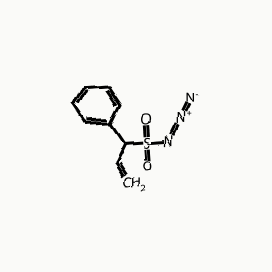 C=CC(c1ccccc1)S(=O)(=O)N=[N+]=[N-]